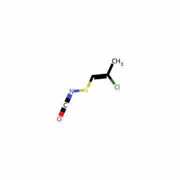 CC(Cl)=CSN=C=O